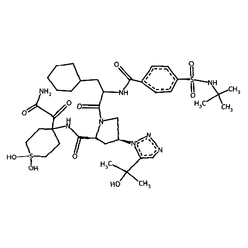 CC(C)(C)NS(=O)(=O)c1ccc(C(=O)NC(CC2CCCCC2)C(=O)N2C[C@@H](n3nncc3C(C)(C)O)C[C@H]2C(=O)NC2(C(=O)C(N)=O)CCS(O)(O)CC2)cc1